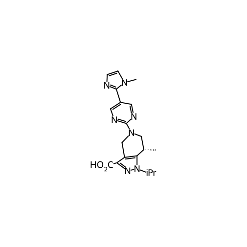 CC(C)n1nc(C(=O)O)c2c1[C@@H](C)CN(c1ncc(-c3nccn3C)cn1)C2